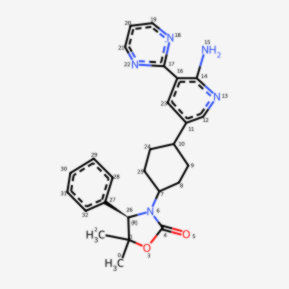 CC1(C)OC(=O)N(C2CCC(c3cnc(N)c(-c4ncccn4)c3)CC2)[C@@H]1c1ccccc1